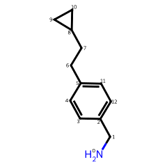 NCc1ccc(CCC2CC2)cc1